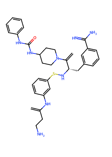 C=C(CCN)Nc1cccc(SN[C@@H](Cc2cccc(C(=N)N)c2)C(=C)N2CCC(NC(=O)Nc3ccccc3)CC2)c1